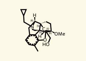 CO[C@]12CC[C@@]3(C[C@H]1CO)[C@H]1Cc4ccc(C)c5c4[C@@]3(CCN1CC1CC1)C2O5